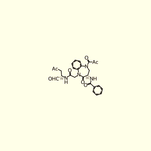 CC(=O)C[C@@H](C=O)NC(=O)CN1C(=O)[C@@H](NC(=O)c2ccccc2)CN(C(=O)C(C)=O)c2ccccc21